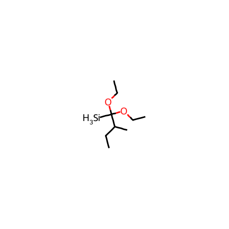 CCOC([SiH3])(OCC)C(C)CC